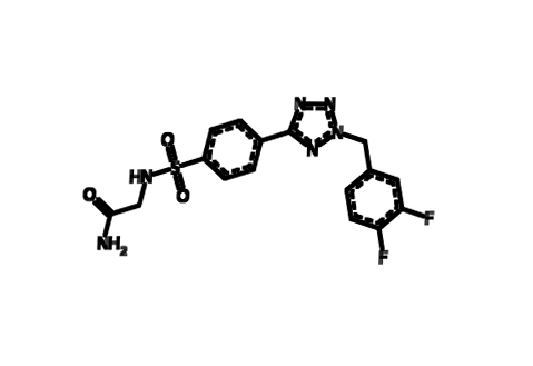 NC(=O)CNS(=O)(=O)c1ccc(-c2nnn(Cc3ccc(F)c(F)c3)n2)cc1